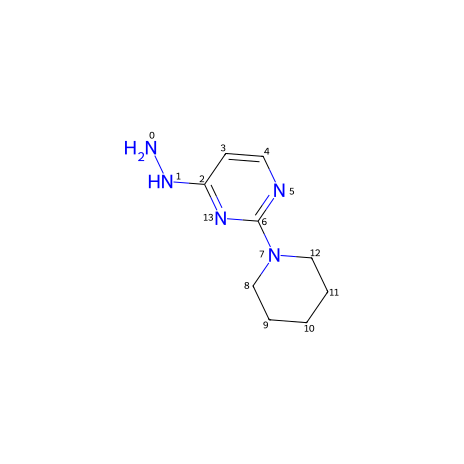 NNc1ccnc(N2CCCCC2)n1